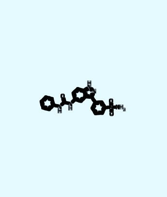 NS(=O)(=O)c1cccc(-c2n[nH]c3ccc(NC(=O)Nc4ccccc4)cc23)c1